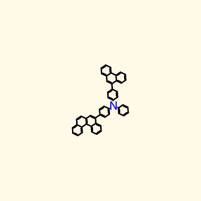 c1ccc(N(c2ccc(-c3cc4ccccc4c4ccccc34)cc2)c2ccc(-c3cc4ccc5ccccc5c4c4ccccc34)cc2)cc1